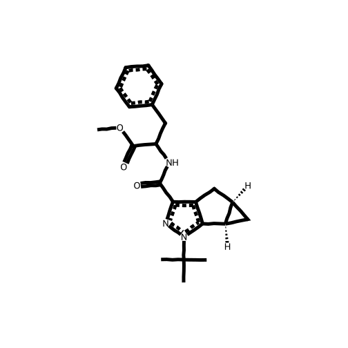 COC(=O)C(Cc1ccccc1)NC(=O)c1nn(C(C)(C)C)c2c1C[C@H]1C[C@@H]21